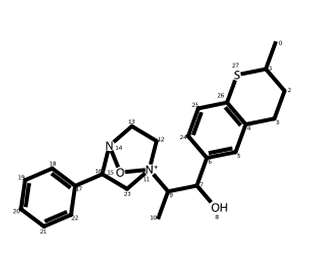 CC1CCc2cc(C(O)C(C)[N+]34CCN(O3)C(c3ccccc3)C4)ccc2S1